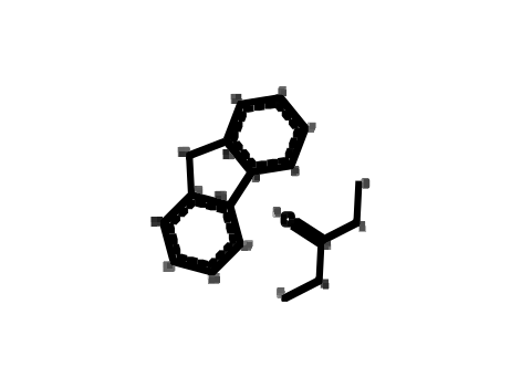 CCC(=O)CC.c1ccc2c(c1)Cc1ccccc1-2